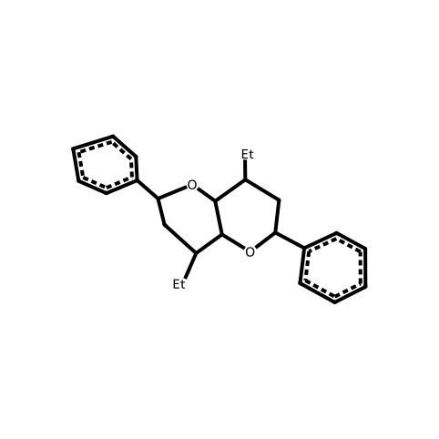 CCC1CC(c2ccccc2)OC2C(CC)CC(c3ccccc3)OC12